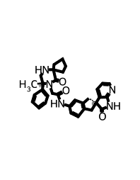 C[C@@]1(c2ccccc2)CNC2(CCCC2)C(=O)N1CC(=O)Nc1ccc2c(c1)C[C@@]1(C2)C(=O)Nc2ncccc21